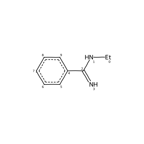 CCNC(=N)c1cc[c]cc1